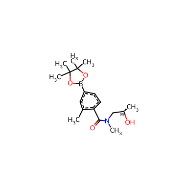 Cc1cc(B2OC(C)(C)C(C)(C)O2)ccc1C(=O)N(C)C[C@@H](C)O